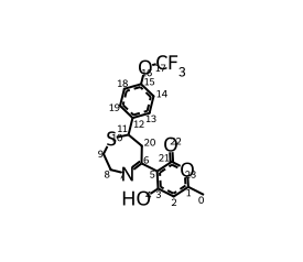 Cc1cc(O)c(C2=NCCSC(c3ccc(OC(F)(F)F)cc3)C2)c(=O)o1